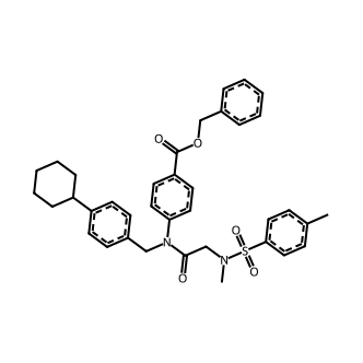 Cc1ccc(S(=O)(=O)N(C)CC(=O)N(Cc2ccc(C3CCCCC3)cc2)c2ccc(C(=O)OCc3ccccc3)cc2)cc1